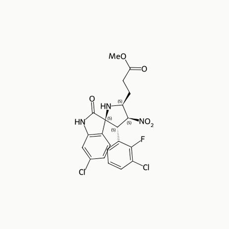 COC(=O)CC[C@@H]1N[C@@]2(C(=O)Nc3cc(Cl)ccc32)[C@@H](c2cccc(Cl)c2F)[C@@H]1[N+](=O)[O-]